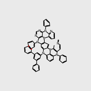 C=N/C=C\C1=C(C)B2c3cc4c(cc3N(c3cc(-c5ccccc5)cc(-c5ccccc5)c3)c3cccc(c32)N1c1ccccc1)N(c1ccccc1)c1ncnc2c1B4c1cccnc1N2c1ccccc1